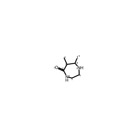 CC1C(=O)NCCNC1I